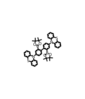 CC1(C)OB(c2cc(N3c4ccccc4Sc4ccccc43)ccc2-c2ccc(N3c4ccccc4Sc4ccccc43)cc2B2OC(C)(C)C(C)(C)O2)OC1(C)C